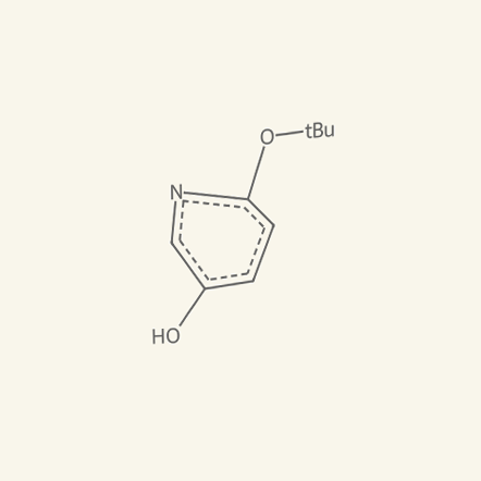 CC(C)(C)Oc1ccc(O)cn1